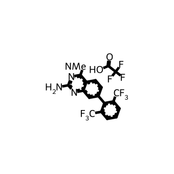 CNc1nc(N)nc2cc(-c3c(C(F)(F)F)cccc3C(F)(F)F)ccc12.O=C(O)C(F)(F)F